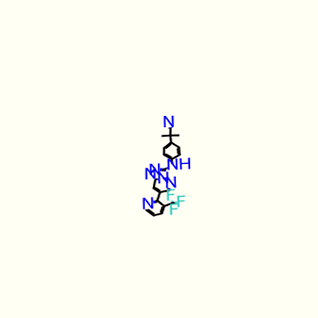 CC(C)(C#N)c1ccc(Nc2nnc3cc(-c4ncccc4C(F)(F)F)cnn23)cc1